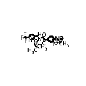 CC(C)COc1nc(C(F)(F)F)ccc1CNC(=O)[C@@H](C)c1ccc(NS(C)(=O)=O)c(F)c1